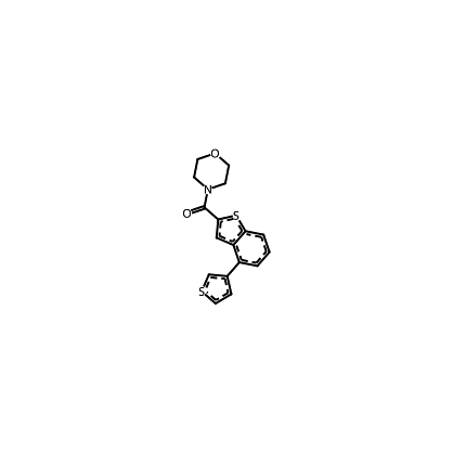 O=C(c1cc2c(-c3ccsc3)cccc2s1)N1CCOCC1